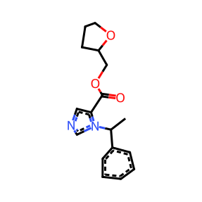 CC(c1ccccc1)n1cncc1C(=O)OCC1CCCO1